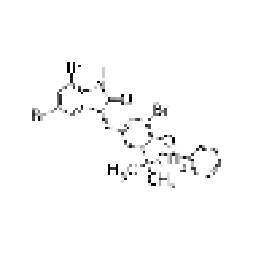 CC(C)(C)c1cc(C=C2C(=O)Nc3c(Br)cc(Br)cc32)cc(Br)c1OCc1ccccc1